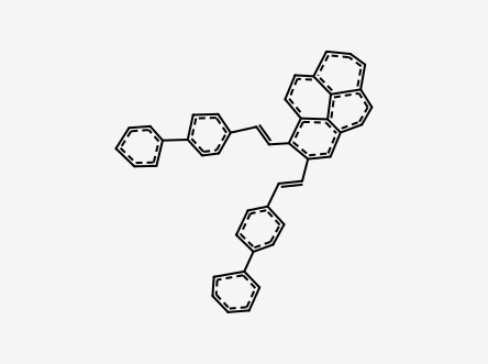 C(=Cc1cc2ccc3cccc4ccc(c1C=Cc1ccc(-c5ccccc5)cc1)c2c34)c1ccc(-c2ccccc2)cc1